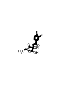 CCOC(=O)C(O)(CC(=O)c1ccc(F)c(F)c1)C(=O)O